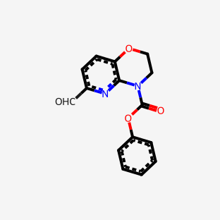 O=[13CH]c1ccc2c(n1)N(C(=O)Oc1ccccc1)CCO2